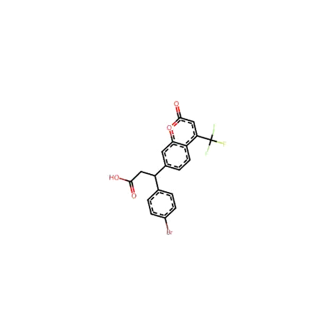 O=C(O)CC(c1ccc(Br)cc1)c1ccc2c(C(F)(F)F)cc(=O)oc2c1